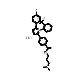 CN(C)CCCNC(=O)c1ccc(-c2ccc(-c3ccc(Cl)cc3)n2-c2ccccc2C(F)(F)F)cc1.Cl